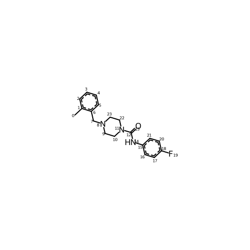 Cc1ccccc1CN1CCN(C(=O)Nc2ccc(F)cc2)CC1